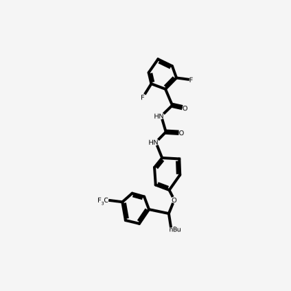 CCCCC(Oc1ccc(NC(=O)NC(=O)c2c(F)cccc2F)cc1)c1ccc(C(F)(F)F)cc1